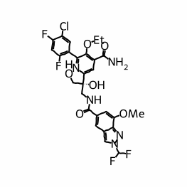 CCOc1c(C(N)=O)cc([C@](O)(CO)CNC(=O)c2cc(OC)c3nn(C(F)F)cc3c2)nc1-c1cc(Cl)c(F)cc1F